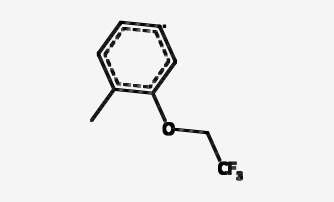 Cc1cc[c]cc1OCC(F)(F)F